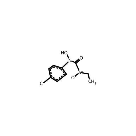 CC[S+]([O-])C(=O)N(O)c1ccc(Cl)cc1